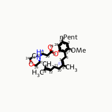 CCCCCc1cc(OC)c(C/C=C(\C)CCC=C(C)C)c(OC(=O)CC[NH+]2[CH-]COCC2)c1